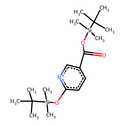 CC(C)(C)[Si](C)(C)OC(=O)c1ccc(O[Si](C)(C)C(C)(C)C)nc1